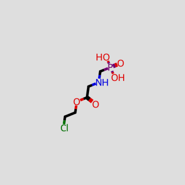 O=C(CNCP(=O)(O)O)OCCCl